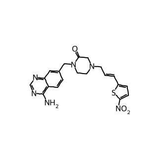 Nc1ncnc2cc(CN3CCN(CC=Cc4ccc([N+](=O)[O-])s4)CC3=O)ccc12